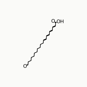 O=CCCCCCCCCCCC=CC=CC=CC=CC(=O)O